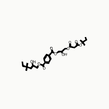 CCC(C)(C)CC(O)COC(=O)c1ccc(C(=O)OCC(O)COC(=O)CC(=O)OC(C)(C)CC)cc1